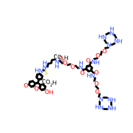 O=C(COCCOCCNC(=O)c1cc(C(=O)NCCOCCOCCN2CCNCCNCCNCC2)cc(C(=O)NCCOCCOCCN2CCNCCNCCNCC2)c1)NC(CCCCNC(=S)Nc1ccc(-c2c3ccc(=O)cc-3oc3cc(O)ccc23)c(C(=O)O)c1)C(=O)O